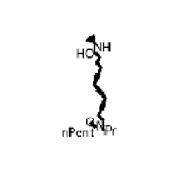 CCCCCC(=O)N(CCC#CCC#CCC#CCCCC(O)NC1CC1)C(C)C